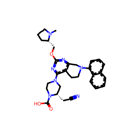 CN1CCC[C@H]1COc1nc2c(c(N3CCN(C(=O)O)[C@@H](CC#N)C3)n1)CCN(c1cccc3ccccc13)C2